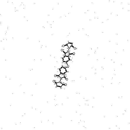 O=C1C=CC(=O)N1N1C(=O)c2ccc(Oc3ccc4c(c3)C(=O)N(N3C(=O)C=CC3=O)C4=O)cc2C1=O